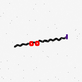 CCCCCCOCOCCC=CCCCCCCI